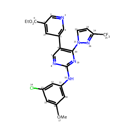 CCOC(=O)c1cncc(-c2cnc(Nc3cc(Cl)cc(OC)c3)nc2-n2ccc(C(F)(F)F)n2)c1